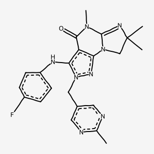 Cc1ncc(Cn2nc3c(c2Nc2ccc(F)cc2)C(=O)N(C)C2=NC(C)(C)CN23)cn1